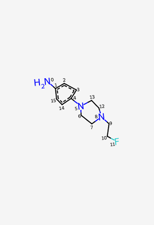 Nc1ccc(N2CCN(CCF)CC2)cc1